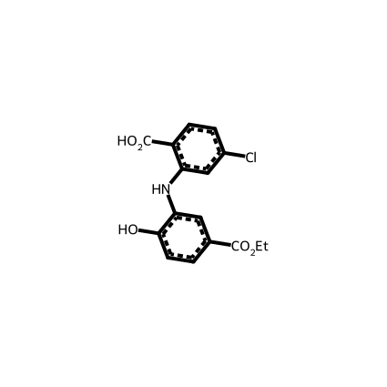 CCOC(=O)c1ccc(O)c(Nc2cc(Cl)ccc2C(=O)O)c1